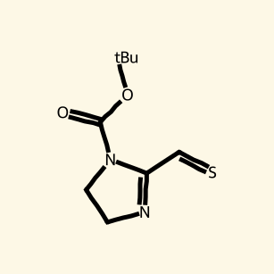 CC(C)(C)OC(=O)N1CCN=C1C=S